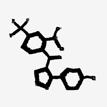 O=C(c1ccc(C(F)(F)F)cc1[N+](=O)[O-])c1cnoc1-c1ccc(Cl)cc1